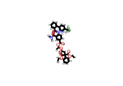 CCOC(=O)C(CC(=O)OC(C)OC(=O)c1ccc(NC(=O)c2ccccc2-c2ccc(C(F)(F)F)cc2)c(C(=O)N(C)C)c1)(C(=O)OCC)c1ccccc1